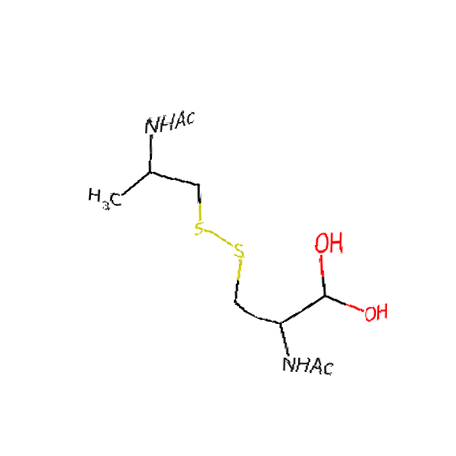 CC(=O)NC(C)CSSCC(NC(C)=O)C(O)O